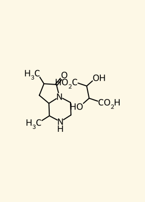 CC1CC2C(C)NCCN2C1=O.O=C(O)C(O)C(O)C(=O)O